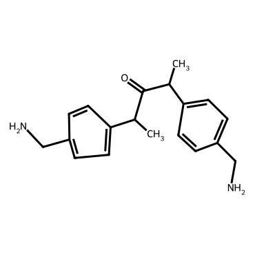 CC(C(=O)C(C)c1ccc(CN)cc1)c1ccc(CN)cc1